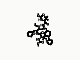 CCO[C@@H](CN(Cc1ccc(-c2ccccn2)cc1)NC(=O)[C@@H](NC(=O)OC)C(C)(C)C)[C@H](Cc1ccccc1)NC(=O)[C@@H](NC(=O)OC)C(C)(C)C